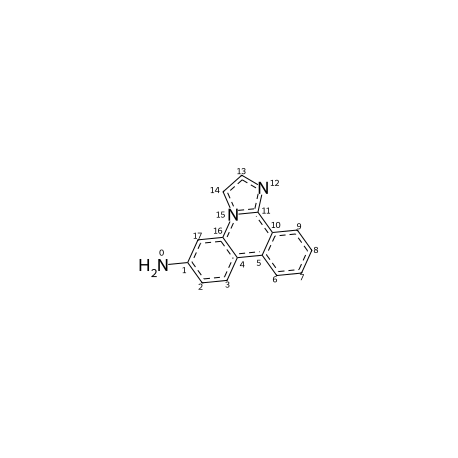 Nc1ccc2c3ccccc3c3nccn3c2c1